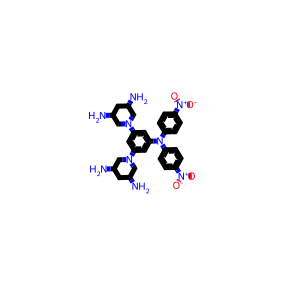 NC1CC(N)CN(c2cc(N3CC(N)CC(N)C3)cc(N(c3ccc([N+](=O)[O-])cc3)c3ccc([N+](=O)[O-])cc3)c2)C1